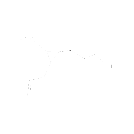 C=CCC1C(CCCO)C1C(=O)O